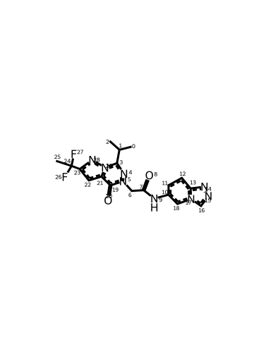 CC(C)c1nn(CC(=O)Nc2ccc3nncn3c2)c(=O)c2cc(C(C)(F)F)nn12